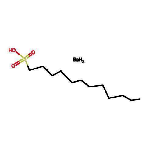 CCCCCCCCCCCCS(=O)(=O)O.[BaH2]